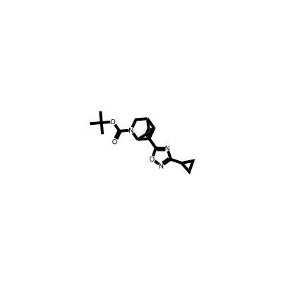 CC(C)(C)OC(=O)N1CC2C=CC1C(c1nc(C3CC3)no1)C2